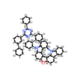 c1ccc(-c2cccc(-c3nc(-c4ccccc4)nc(-c4ccccc4-c4ccccc4-n4c5ccc6oc7ccc8c9ccccc9n9c%10cccc4c%10c5c6c7c89)n3)c2)cc1